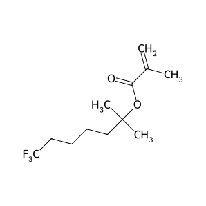 C=C(C)C(=O)OC(C)(C)CCCCC(F)(F)F